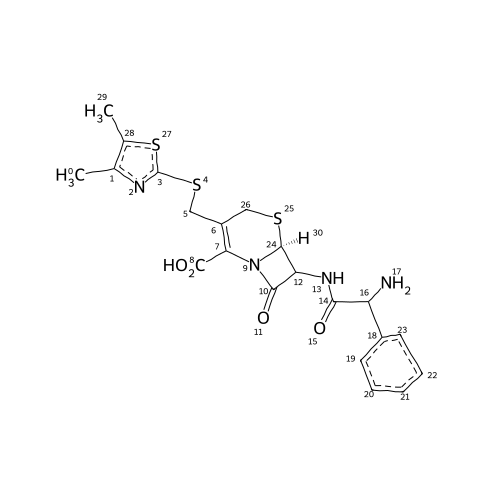 Cc1nc(SCC2=C(C(=O)O)N3C(=O)C(NC(=O)C(N)c4ccccc4)[C@@H]3SC2)sc1C